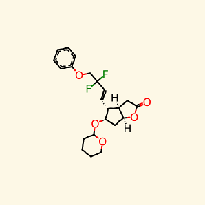 O=C1C[C@@H]2[C@@H](C=CC(F)(F)COc3ccccc3)[C@H](OC3CCCCO3)C[C@@H]2O1